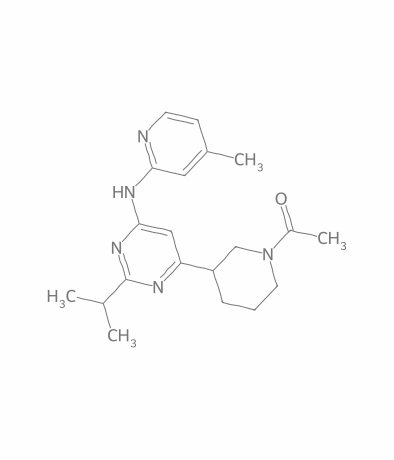 CC(=O)N1CCCC(c2cc(Nc3cc(C)ccn3)nc(C(C)C)n2)C1